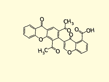 CC(=O)c1cc2c(=O)c3ccccc3oc2c(C(C)=O)c1-c1coc2cccc(C(=O)O)c2c1=O